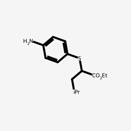 CCOC(=O)C(CC(C)C)Sc1ccc(N)cc1